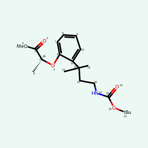 COC(=O)[C@@H](C)Oc1ccccc1C(C)(C)CCNC(=O)OC(C)(C)C